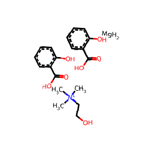 C[N+](C)(C)CCO.O=C(O)c1ccccc1O.O=C(O)c1ccccc1O.[MgH2]